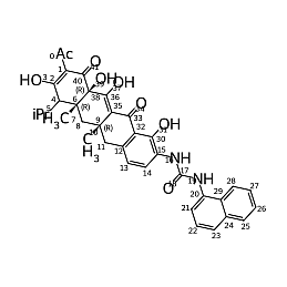 CC(=O)C1=C(O)C(C(C)C)[C@@]2(C)C[C@@]3(C)Cc4ccc(NC(=O)Nc5cccc6ccccc56)c(O)c4C(=O)C3=C(O)[C@@]2(O)C1=O